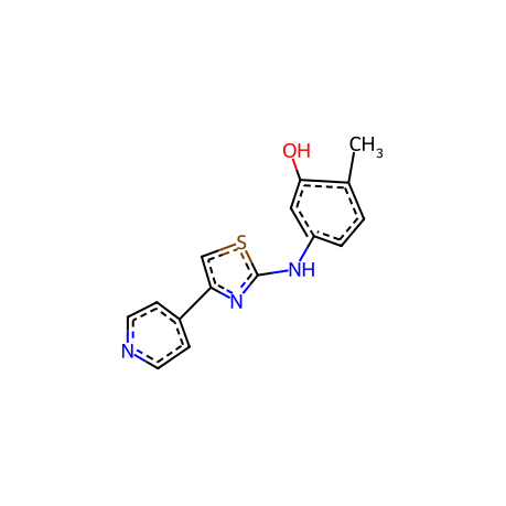 Cc1ccc(Nc2nc(-c3ccncc3)cs2)cc1O